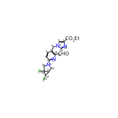 CCOC(=O)c1cn(Cc2ccc(N3CC4C(F)C4(F)C3)nc2C=O)cn1